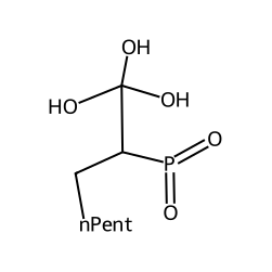 CCCCCCC(P(=O)=O)C(O)(O)O